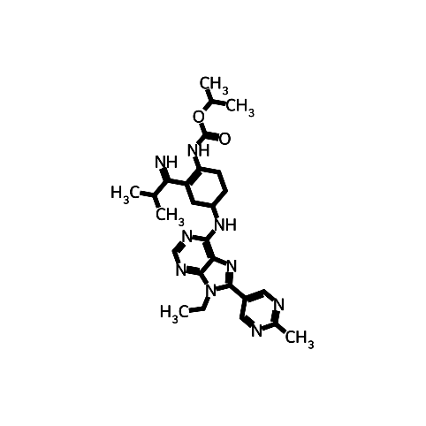 CCn1c(-c2cnc(C)nc2)nc2c(NC3CCC(NC(=O)OC(C)C)=C(C(=N)C(C)C)C3)ncnc21